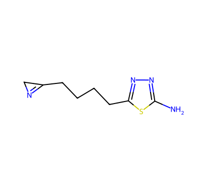 Nc1nnc(CCCCC2=NC2)s1